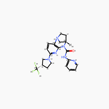 O=C(Nc1ccccn1)N1c2nc(N3CC[C@H](C(F)(F)F)C3)ccc2N2CC[C@H]1C2